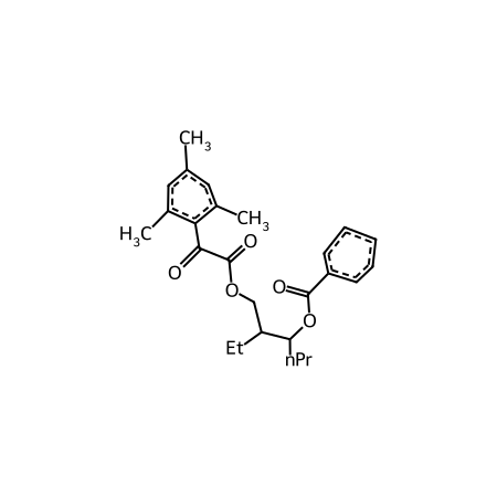 CCCC(OC(=O)c1ccccc1)C(CC)COC(=O)C(=O)c1c(C)cc(C)cc1C